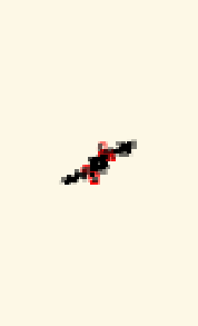 CCCCCOC(=O)c1ccc(C(=O)OCCCC(C)C)cc1